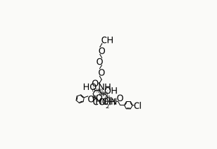 C#CCOCCOCCOCCC(=O)N[C@H]1[C@H]([C@H](O)[C@H](O)CNC(=O)Cc2ccc(Cl)cc2)O[C@@](OCc2ccccc2)(C(=O)O)C[C@@H]1O